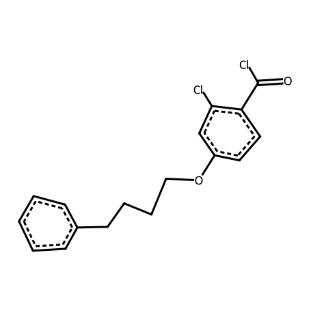 O=C(Cl)c1ccc(OCCCCc2ccccc2)cc1Cl